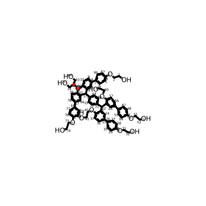 OCCOc1ccc(-c2ccc(OCCO)c(C(c3ccc(C(c4cc(-c5ccc(OCCO)cc5)ccc4OCCO)c4cc(-c5ccc(OCCO)cc5)ccc4OCCO)cc3)c3cc(-c4ccc(OCCO)cc4)ccc3OCCO)c2)cc1